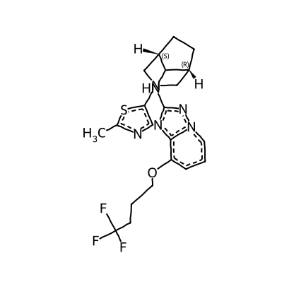 Cc1ncc(N2C[C@H]3CC[C@@H](C2)C3Nc2nc3c(OCCCC(F)(F)F)cccn3n2)s1